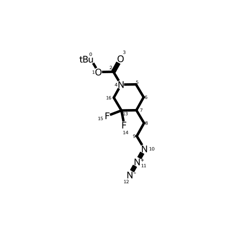 CC(C)(C)OC(=O)N1CCC(CCN=[N+]=[N-])C(F)(F)C1